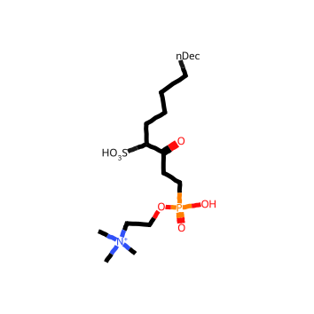 CCCCCCCCCCCCCCC(C(=O)CCP(=O)(O)OCC[N+](C)(C)C)S(=O)(=O)O